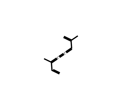 C=CC(C)=C=C=CC(=C)C